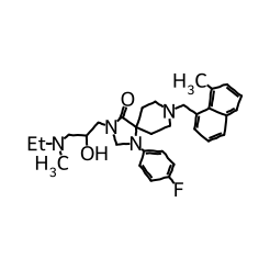 CCN(C)CC(O)CN1CN(c2ccc(F)cc2)C2(CCN(Cc3cccc4cccc(C)c34)CC2)C1=O